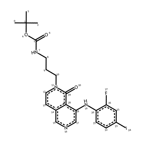 CC(C)(C)OC(=O)NCCCn1ccc2cncc(Nc3ccc(I)cc3F)c2c1=O